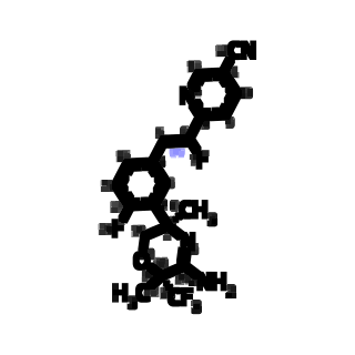 C[C@@]1(c2cc(/C=C(\F)c3ccc(C#N)cn3)ccc2F)CO[C@@](C)(C(F)(F)F)C(N)=N1